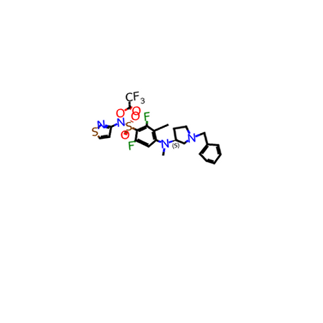 Cc1c(N(C)[C@H]2CCN(Cc3ccccc3)C2)cc(F)c(S(=O)(=O)N(OC(=O)C(F)(F)F)c2ccsn2)c1F